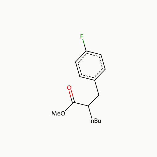 CCCCC(Cc1ccc(F)cc1)C(=O)OC